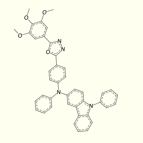 COc1cc(-c2nnc(-c3ccc(N(c4ccccc4)c4ccc5c(c4)c4ccccc4n5-c4ccccc4)cc3)o2)cc(OC)c1OC